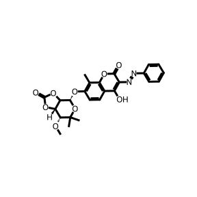 CO[C@@H]1[C@@H]2OC(=O)OC2[C@H](Oc2ccc3c(O)c(/N=N/c4ccccc4)c(=O)oc3c2C)OC1(C)C